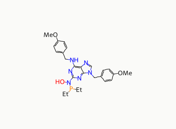 CCP(CC)N(O)c1nc(NCc2ccc(OC)cc2)c2ncn(Cc3ccc(OC)cc3)c2n1